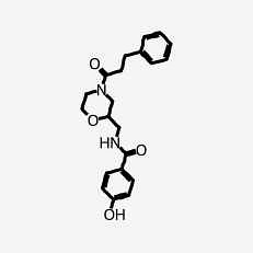 O=C(NCC1CN(C(=O)CCc2ccccc2)CCO1)c1ccc(O)cc1